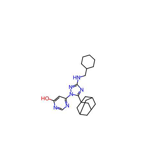 Oc1cc(-n2nc(NCC3CCCCC3)nc2C23CC4CC(CC(C4)C2)C3)ncn1